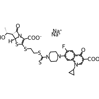 C[C@@H](O)[C@@H]1C(=O)N2C(C(=O)[O-])=C(SCCSC(=S)N3CCN(c4cc5c(cc4F)c(=O)c(C(=O)[O-])cn5C4CC4)CC3)S[C@H]12.[Na+].[Na+]